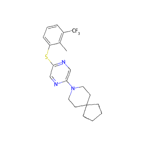 Cc1c(Sc2cnc(N3CCC4(CCCC4)CC3)cn2)cccc1C(F)(F)F